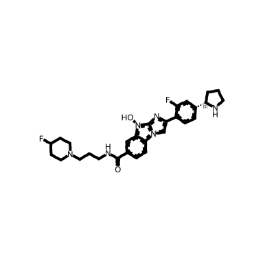 O=C(NCCCN1CCC(F)CC1)c1ccc2c(c1)n(O)c1nc(-c3ccc([C@@H]4CCCN4)cc3F)cn21